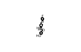 O=C(NCC1(O)CCC(COc2ccc(F)cc2)CC1)c1ccc(O)cc1